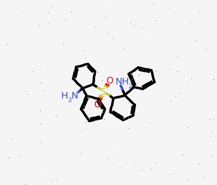 NC1(c2ccccc2)C=CC=CC1S(=O)(=O)C1C=CC=CC1(N)c1ccccc1